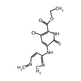 C=N/C=C\C(=N/C)Nc1cc(Cl)c(C(=O)OCC)[nH]c1=S